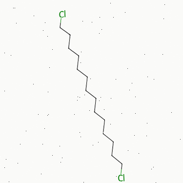 ClCCCCCCCCCCCCCCCl